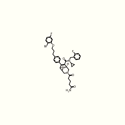 NC(=O)CCCC(=O)N1CC2CC(c3ccc(CCCOc4cc(F)ccc4Br)cc3)=C(C(=O)N(Cc3ccccc3F)C3CC3)[C@@H](C1)N2